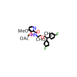 COc1ccnc(C(=O)NC(C=O)CO[C@@H](C)C(c2ccc(F)cc2)c2ccc(F)cc2)c1OCOC(C)=O